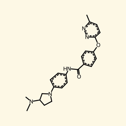 Cc1ccc(Oc2ccc(C(=O)Nc3ccc(N4CCC(N(C)C)C4)cc3)cc2)nn1